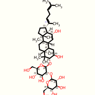 CC(C)=CC/C=C(\C)[C@H]1CC[C@]2(C)[C@@H]1[C@H](O)C[C@@H]1[C@@]3(C)C[C@@H](O)[C@H](O[C@@H]4O[C@H](CO)[C@@H](O)[C@H](O)[C@H]4O[C@@H]4O[C@H](CO)[C@@H](O)[C@H](O)[C@H]4O)C(C)(C)[C@@H]3CC[C@]12C